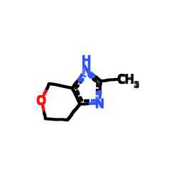 Cc1nc2c([nH]1)COCC2